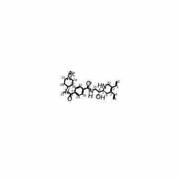 C=CC1=C(C=C)C[C@@H]([C@H](O)CNC(=O)c2ccc(C(=O)N(C)C3CCN(C(C)=O)CC3)cc2)NC1